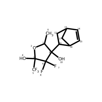 CC1OC(O)(C(F)(F)F)C(F)(F)C1(O)C1CC2C=CC1C2